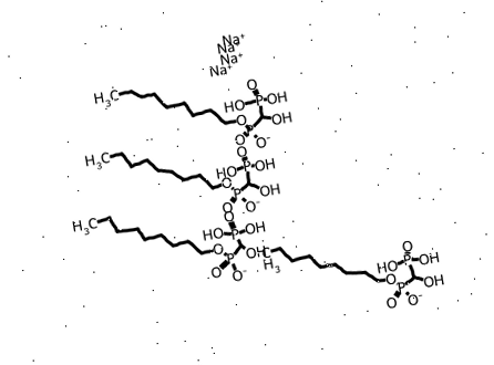 CCCCCCCCCOP(=O)([O-])C(O)P(=O)(O)O.CCCCCCCCCOP(=O)([O-])C(O)P(=O)(O)O.CCCCCCCCCOP(=O)([O-])C(O)P(=O)(O)O.CCCCCCCCCOP(=O)([O-])C(O)P(=O)(O)O.[Na+].[Na+].[Na+].[Na+]